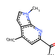 COC(=O)c1cc(C=O)c2ccn(C)c2n1